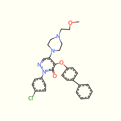 COCCN1CCN(c2cnn(-c3ccc(Cl)cc3)c(=O)c2Oc2ccc(-c3ccccc3)cc2)CC1